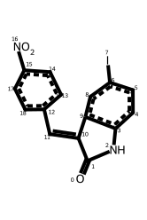 O=C1Nc2ccc(I)cc2C1=Cc1ccc([N+](=O)[O-])cc1